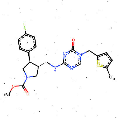 CC(C)(C)OC(=O)N1C[C@@H](CNc2ncn(Cc3ccc(C(F)(F)F)s3)c(=O)n2)[C@H](c2ccc(F)cc2)C1